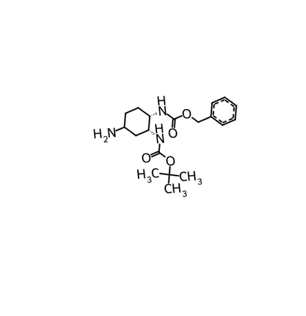 CC(C)(C)OC(=O)N[C@@H]1CC(N)CC[C@@H]1NC(=O)OCc1ccccc1